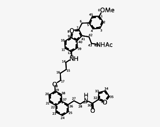 COc1cccc(Cc2oc3ccc(NCCCCOc4ccc5cccc(CCNC(=O)c6ccco6)c5c4)cc3c2CCNC(C)=O)c1